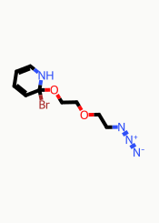 [N-]=[N+]=NCCOCCOC1(Br)C=CC=CN1